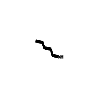 C=CC=CC=N